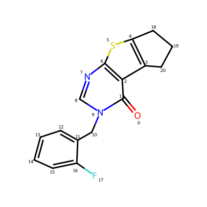 O=c1c2c3c(sc2ncn1Cc1ccccc1F)CCC3